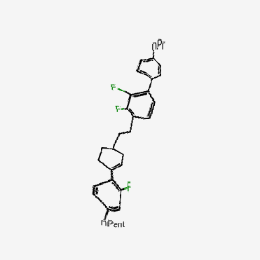 CCCCCc1ccc(C2=CCC(CCc3ccc(-c4ccc(CCC)cc4)c(F)c3F)CC2)c(F)c1